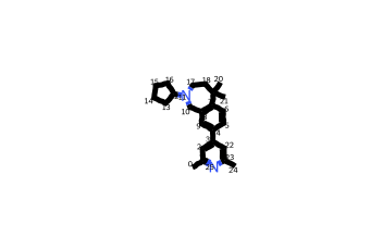 Cc1cc(-c2ccc3c(c2)CN(C2CCCC2)CCC3(C)C)cc(C)n1